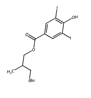 CC(COC(=O)c1cc(I)c(O)c(I)c1)CC(C)(C)C